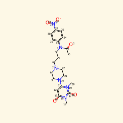 CC(=O)N(CCCN1CCN(c2cc(=O)n(C)c(=O)n2C)CC1)c1ccc([N+](=O)[O-])cc1